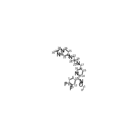 CCO/N=C(\c1ccc(F)c(F)c1)c1ccc(CN2CC3(C2)CN(c2ccn4cc(C)nc4c2)C3)cn1